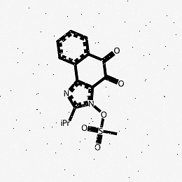 CC(C)c1nc2c(n1OS(C)(=O)=O)C(=O)C(=O)c1ccccc1-2